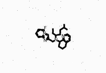 CCC(CCC(C)C)N(Cc1cn2c(F)cccc2n1)C1CCCc2cccnc21